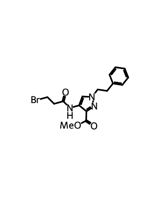 COC(=O)c1nn(CCc2ccccc2)cc1NC(=O)CCBr